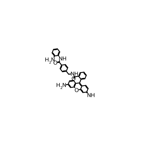 N=c1ccc2c(-c3ccccc3C(=O)NCc3ccc(C(=O)Nc4ccccc4N)cc3)c3ccc(N)cc3oc-2c1